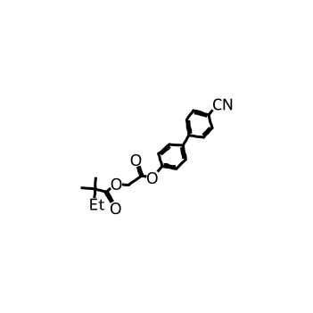 CCC(C)(C)C(=O)OCC(=O)Oc1ccc(-c2ccc(C#N)cc2)cc1